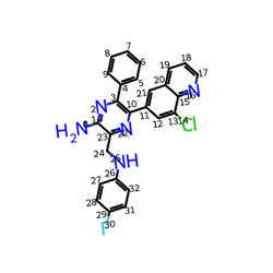 Nc1nc(-c2ccccc2)c(-c2cc(Cl)c3ncccc3c2)nc1CNc1ccc(F)cc1